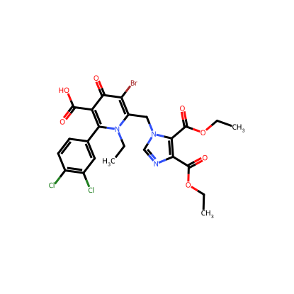 CCOC(=O)c1ncn(Cc2c(Br)c(=O)c(C(=O)O)c(-c3ccc(Cl)c(Cl)c3)n2CC)c1C(=O)OCC